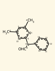 Cc1cc(C)nc(N(C=O)c2ccccc2)n1